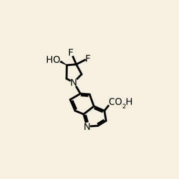 O=C(O)c1ccnc2ccc(N3C[C@@H](O)C(F)(F)C3)cc12